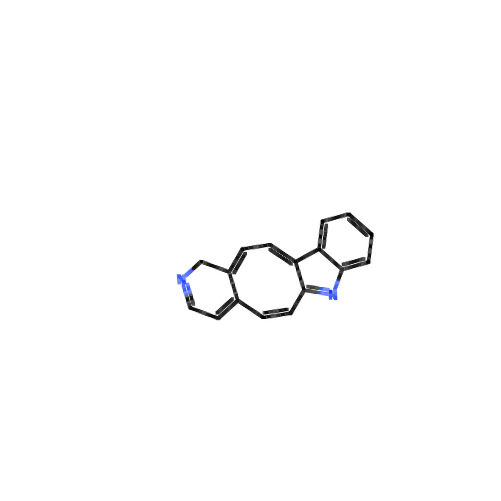 C1=CC2=Nc3ccccc3C2=CC=C2CN=CC=C12